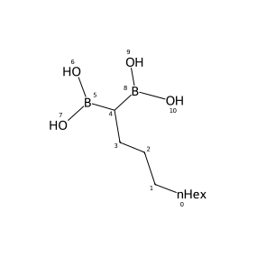 CCCCCCCCCC(B(O)O)B(O)O